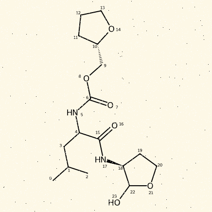 CC(C)CC(NC(=O)OC[C@@H]1CCCO1)C(=O)N[C@H]1CCOC1O